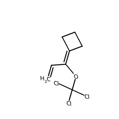 C=CC(OC(Cl)(Cl)Cl)=C1CCC1